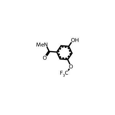 CNC(=O)c1cc(O)cc(OC(F)(F)F)c1